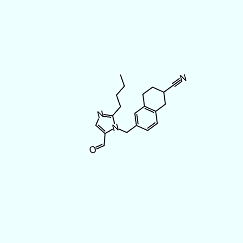 CCCCc1ncc(C=O)n1Cc1ccc2c(c1)CCC(C#N)C2